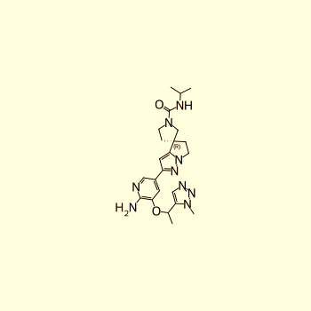 CC(C)NC(=O)N1CC[C@@]2(CCn3nc(-c4cnc(N)c(OC(C)c5cnnn5C)c4)cc32)C1